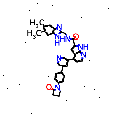 Cc1cc2nc(CNC(=O)c3cc4c(-c5cncc(-c6ccc(N7CCCC7=O)cc6)c5)ccnc4[nH]3)[nH]c2cc1C